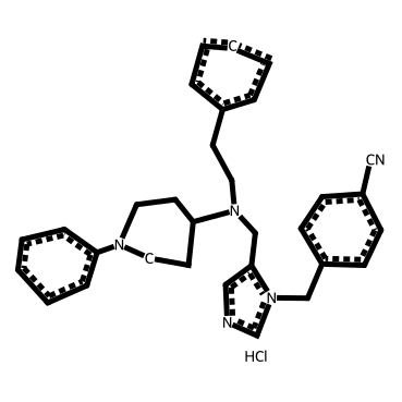 Cl.N#Cc1ccc(Cn2cncc2CN(CCc2ccccc2)C2CCN(c3ccccc3)CC2)cc1